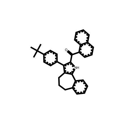 CC(C)(C)c1ccc(-c2c(C(=O)c3cccc4ccccc34)[nH]c3c2CCCc2ccccc2-3)cc1